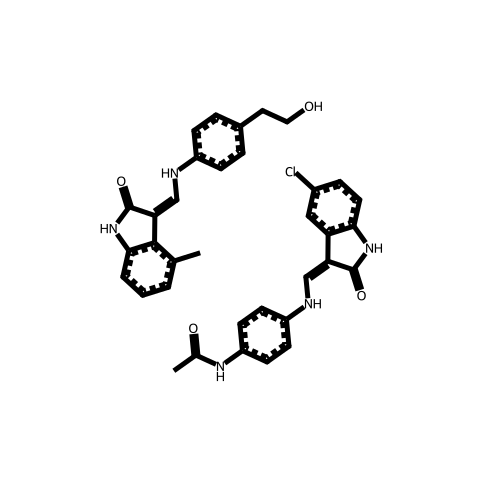 CC(=O)Nc1ccc(NC=C2C(=O)Nc3ccc(Cl)cc32)cc1.Cc1cccc2c1C(=CNc1ccc(CCO)cc1)C(=O)N2